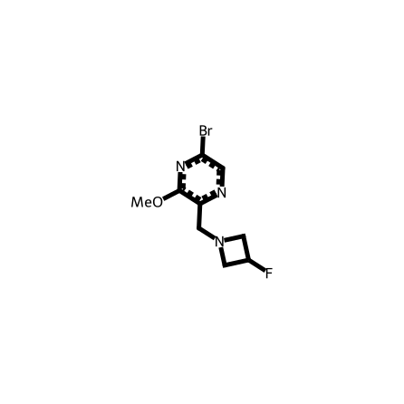 COc1nc(Br)cnc1CN1CC(F)C1